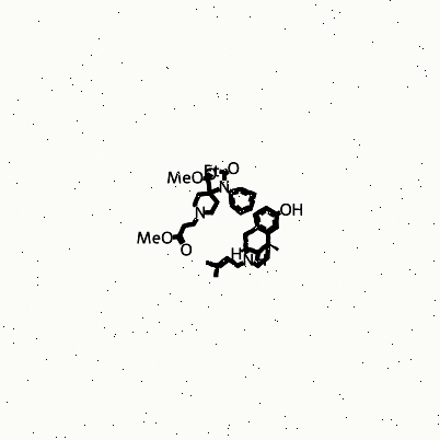 CC(C)=CCN1CC[C@@]2(C)c3cc(O)ccc3C[C@@H]1[C@@H]2C.CCC(=O)N(c1ccccc1)C1(C(=O)OC)CCN(CCC(=O)OC)CC1